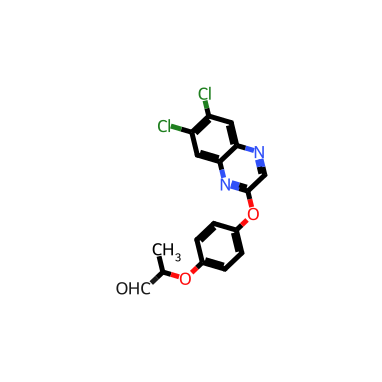 CC(C=O)Oc1ccc(Oc2cnc3cc(Cl)c(Cl)cc3n2)cc1